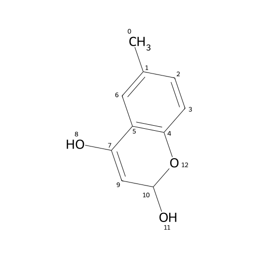 Cc1ccc2c(c1)C(O)=CC(O)O2